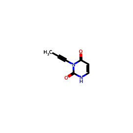 CC#Cn1c(=O)cc[nH]c1=O